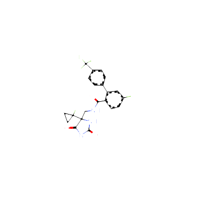 O=C1NC(=O)C(CNC(=O)c2ccc(F)cc2-c2ccc(C(F)(F)F)cc2)(C2(F)CC2)N1